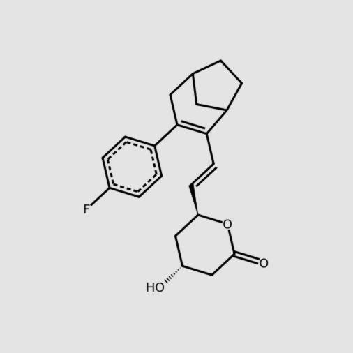 O=C1C[C@H](O)C[C@@H](/C=C/C2=C(c3ccc(F)cc3)CC3CCC2C3)O1